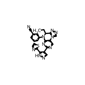 CCC1c2nncn2-c2cnc(-c3cn[nH]c3-c3nccs3)nc2N1c1cccc(C#N)c1